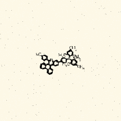 Cc1cc(C)c(B(c2ccc(-c3ccc4c(c3)nc(-c3ccc(C#N)cc3)c3c5ccccc5c5ccccc5c43)cc2)c2c(C)cc(C)cc2C)c(C)c1